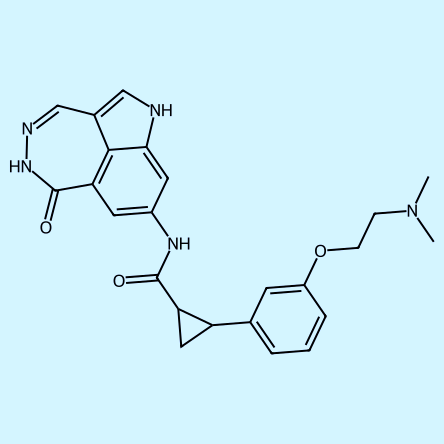 CN(C)CCOc1cccc(C2CC2C(=O)Nc2cc3c4c(c[nH]c4c2)C=NNC3=O)c1